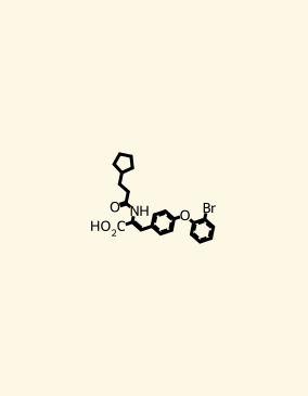 O=C(CCC1CCCC1)NC(=Cc1ccc(Oc2ccccc2Br)cc1)C(=O)O